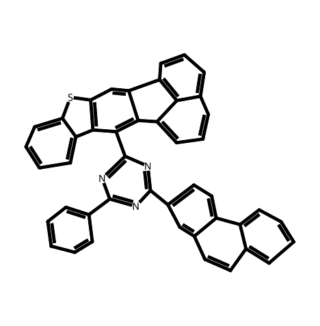 c1ccc(-c2nc(-c3ccc4c(ccc5ccccc54)c3)nc(-c3c4c(cc5sc6ccccc6c35)-c3cccc5cccc-4c35)n2)cc1